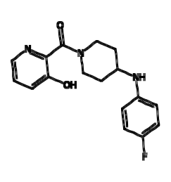 O=C(c1ncccc1O)N1CCC(Nc2ccc(F)cc2)CC1